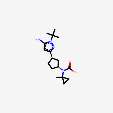 CC1(N(C(=O)O)[C@H]2CC[C@@H](c3cc(N)n(C(C)(C)C)n3)C2)CC1